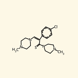 CN1CCN(C=C(C(=S)N2CCN(C)CC2)c2ccc(Cl)cc2)CC1